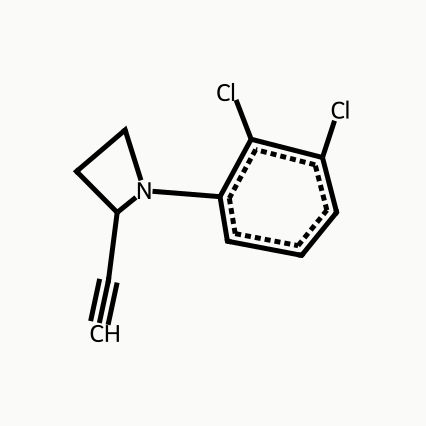 C#CC1CCN1c1cccc(Cl)c1Cl